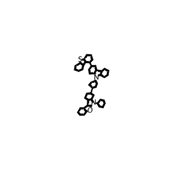 c1ccc(-n2c3cc(-c4ccc(-n5c6ccccc6c6cc(-c7cccc8sc9ccccc9c78)ccc65)cc4)ccc3c3c4ccccc4oc32)cc1